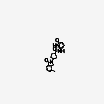 Cc1cccc2c1CN(C1CCC(C(=O)Nc3cccc(=O)[nH]3)CC1)C2=O